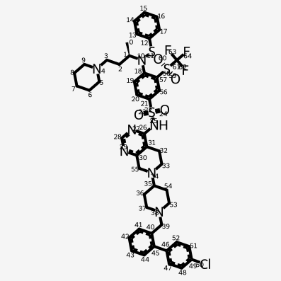 C[C@H](CCN1CCCCC1)N(Sc1ccccc1)c1ccc(S(=O)(=O)Nc2ncnc3c2CCN(C2CCN(Cc4ccccc4-c4ccc(Cl)cc4)CC2)C3)cc1S(=O)(=O)C(F)(F)F